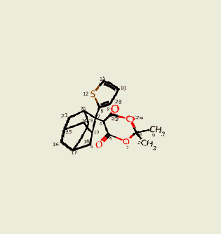 CC1(C)OC(=O)C(C2(c3cccs3)C3CC4CC(C3)CC2C4)C(=O)O1